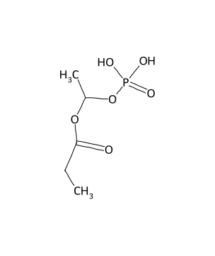 CCC(=O)OC(C)OP(=O)(O)O